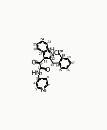 O=C(Nc1ccncc1)C(=O)c1c(Cc2ccccc2Cl)[nH]c2ccccc12